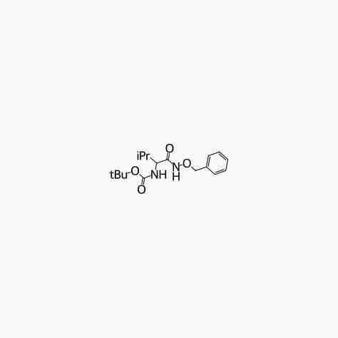 CC(C)C(NC(=O)OC(C)(C)C)C(=O)NOCc1ccccc1